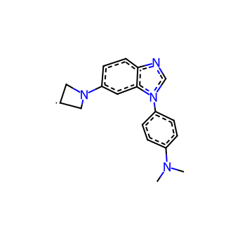 CN(C)c1ccc(-n2cnc3ccc(N4C[CH]C4)cc32)cc1